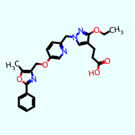 CCOc1nn(Cc2ccc(OCc3nc(-c4ccccc4)oc3C)cn2)cc1CCC(=O)O